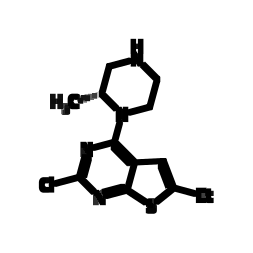 CCc1cc2c(N3CCNC[C@H]3C)nc(Cl)nc2s1